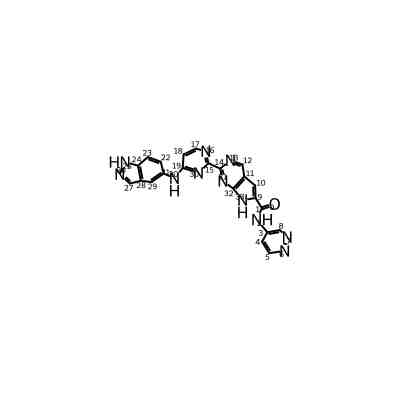 O=C(Nc1ccnnc1)c1cc2cnc(-c3nccc(Nc4ccc5[nH]ncc5c4)n3)nc2[nH]1